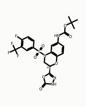 CC(C)(C)OC(=O)Nc1ccc2c(c1)N(S(=O)(=O)c1ccc(F)c(C(F)(F)F)c1)C[C@H](c1n[nH]c(=O)o1)O2